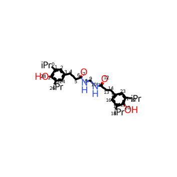 CC(C)c1cc(CCC(=O)NCNC(=O)CCc2cc(C(C)C)c(O)c(C(C)C)c2)cc(C(C)C)c1O